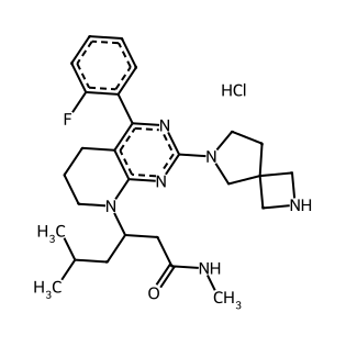 CNC(=O)CC(CC(C)C)N1CCCc2c(-c3ccccc3F)nc(N3CCC4(CNC4)C3)nc21.Cl